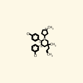 C=CCC1(C)C[C@H](c2cccc(Cl)c2)[C@@H](c2ccc(Cl)cc2)N(C2CC[C@@H](C)C2)C1